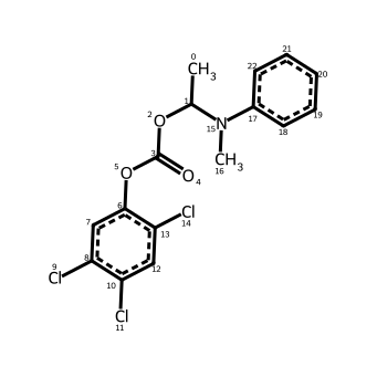 CC(OC(=O)Oc1cc(Cl)c(Cl)cc1Cl)N(C)c1ccccc1